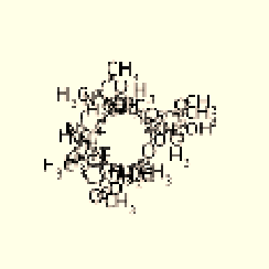 CC[C@H]1OC(=O)[C@H](C)[C@@H](O[C@H]2C[C@@](C)(OC)[C@@H](O)[C@H](C)O2)[C@H](C)[C@@H](O[C@@H]2O[C@H](C)C[C@H](N(C)CCc3cn([C@H](CF)[C@H](OC)c4ccc(S(C)(=O)=O)cc4)nn3)[C@H]2O)[C@](C)(O)CC[C@@H](C)CN(C)[C@H](C)[C@@H](O)C[C@]1(C)O